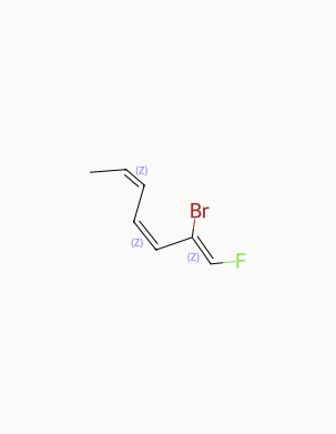 C\C=C/C=C\C(Br)=C\F